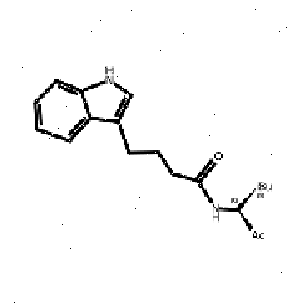 CC[C@H](C)[C@H](NC(=O)CCCc1c[nH]c2ccccc12)C(C)=O